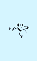 CC(F)=C(CF)CF.O=C(O)O